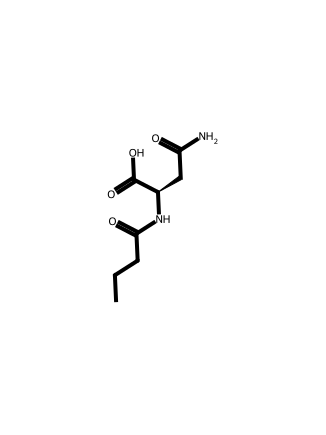 CCCC(=O)N[C@H](CC(N)=O)C(=O)O